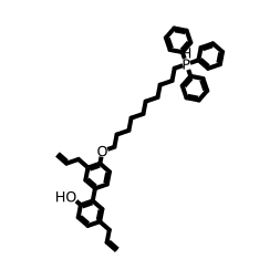 C=CCc1ccc(O)c(-c2ccc(OCCCCCCCCCC[PH](c3ccccc3)(c3ccccc3)c3ccccc3)c(CC=C)c2)c1